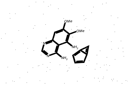 COc1cc2ncnc(N)c2c(N)c1OC.c1cc2cc-2c1